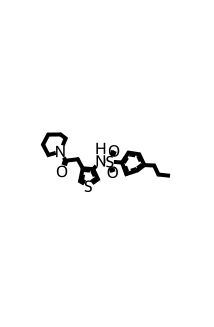 CCCc1ccc(S(=O)(=O)Nc2cscc2CC(=O)N2CCCCC2)cc1